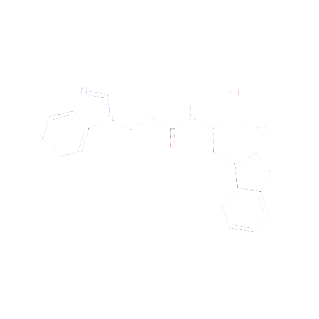 O=C(CCn1cnc2ccccc21)NC(Cc1coc2ccccc12)B(O)O